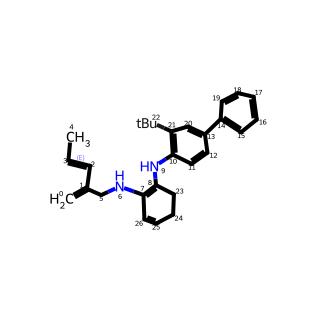 C=C(/C=C/C)CNC1=C(Nc2ccc(-c3ccccc3)cc2C(C)(C)C)CCC=C1